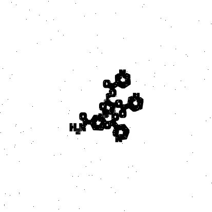 NC(=O)c1ccc[n+]([C@@H]2O[C@H](COC(=O)c3cccnc3)[C@@H](OC(=O)c3cccnc3)[C@H]2OC(=O)c2cccnc2)c1